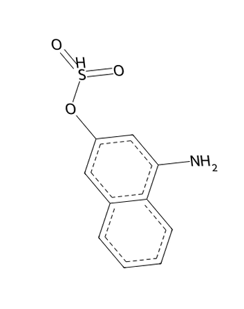 Nc1cc(O[SH](=O)=O)cc2ccccc12